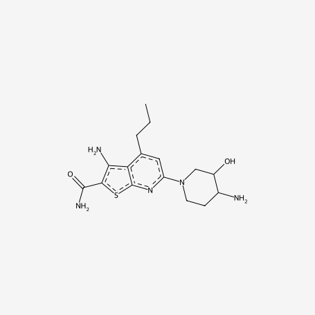 CCCc1cc(N2CCC(N)C(O)C2)nc2sc(C(N)=O)c(N)c12